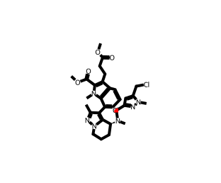 COC(=O)CCc1c(C(=O)OC)n(C)c2c(-c3c(C)nn4c3[C@H](N(C)Cc3cc(CCl)n(C)n3)CCC4)c(Cl)ccc12